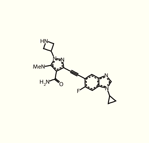 CNc1c(C(N)=O)c(C#Cc2cc3ncn(C4CC4)c3cc2F)nn1C1CNC1